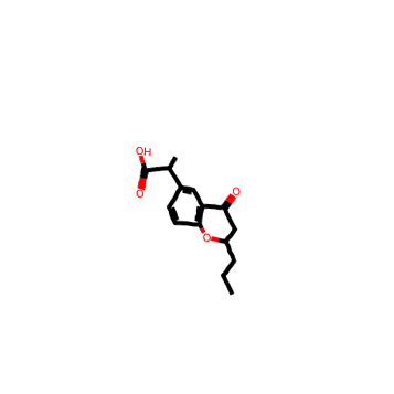 CCCC1CC(=O)c2cc(C(C)C(=O)O)ccc2O1